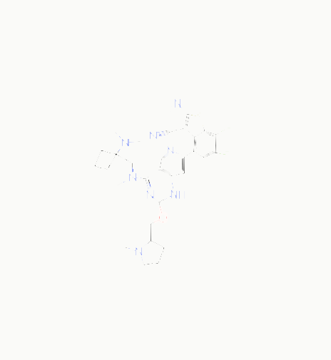 CN(CC1(N(C)C)CCC1)C1=NC(OCC2CCCN2C)Nc2cc(-c3cc(F)c(F)c4sc(N)c(C#N)c34)ncc21